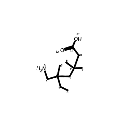 CCC(C)(CN)CC(C)(C)CC(=O)O